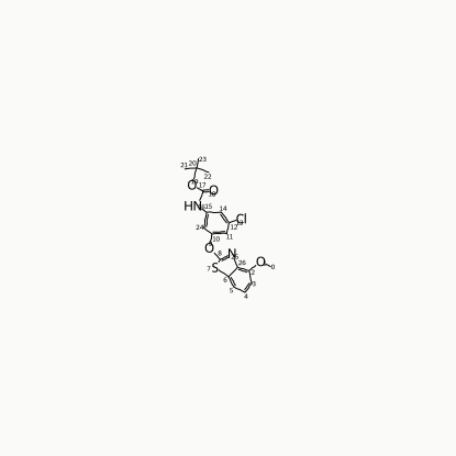 COc1cccc2sc(Oc3cc(Cl)cc(NC(=O)OC(C)(C)C)c3)nc12